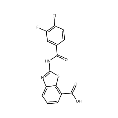 O=C(Nc1nc2cccc(C(=O)O)c2s1)c1ccc(Cl)c(F)c1